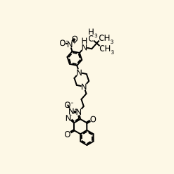 CC(C)(C)CNc1cc(N2CCN(CCCn3c4c(n[n+]3[O-])C(=O)c3ccccc3C4=O)CC2)ccc1[N+](=O)[O-]